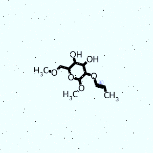 C/C=C/OC1C(OC)OC(COC)C(O)C1O